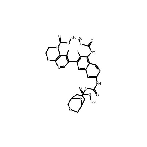 Cc1c(-c2cc3cc(NC(=O)OC4CC5COCC(C4)N5C(=O)OC(C)(C)C)ncc3c(NC(=O)OC(C)(C)C)c2F)cnc2c1N(C(=O)OC(C)(C)C)CCO2